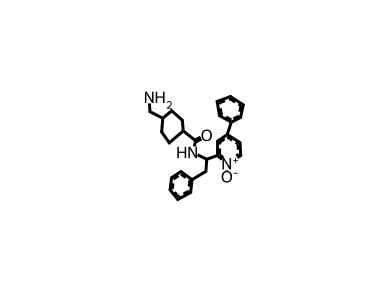 NCC1CCC(C(=O)NC(Cc2ccccc2)c2cc(-c3ccccc3)cc[n+]2[O-])CC1